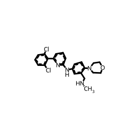 CNCc1cc(Nc2cccc(-c3c(Cl)cccc3Cl)n2)ccc1N1CCOCC1